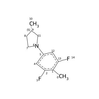 Cc1c(F)cc(N2CC[C@H](C)C2)cc1F